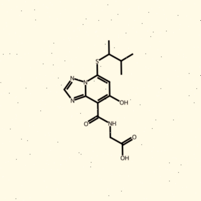 CC(C)C(C)Sc1cc(O)c(C(=O)NCC(=O)O)c2ncnn12